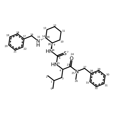 CC(C)CC(NC(=S)N[C@@H]1CCCC[C@H]1NCc1ccccc1)C(=O)N(C)Cc1ccccc1